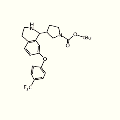 CC(C)(C)OC(=O)N1CCC(C2NCCc3ccc(Oc4ccc(C(F)(F)F)cc4)cc32)C1